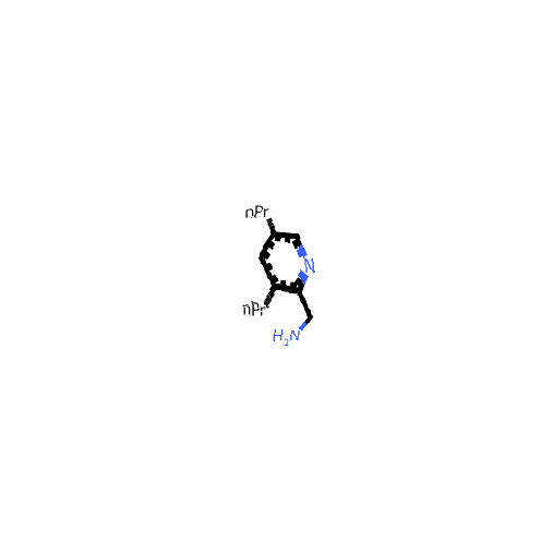 CCCc1cnc(CN)c(CCC)c1